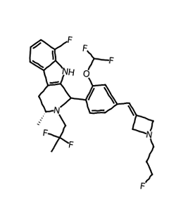 C[C@@H]1Cc2c([nH]c3c(F)cccc23)C(c2ccc(C=C3CN(CCCF)C3)cc2OC(F)F)N1CC(C)(F)F